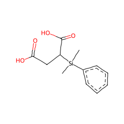 C[Si](C)(c1ccccc1)C(CC(=O)O)C(=O)O